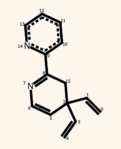 C=CC1(C=C)C=CN=C(c2ccccn2)C1